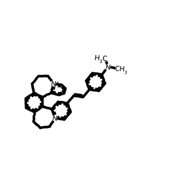 CN(C)c1ccc(/C=C/c2cc[n+]3c(c2)-c2c(ccc4c2-c2cccc[n+]2CCC4)CCC3)cc1